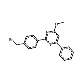 COc1cc(-c2ccccc2)nc(-c2ccc(CBr)cc2)n1